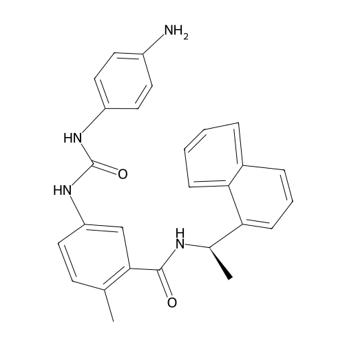 Cc1ccc(NC(=O)Nc2ccc(N)cc2)cc1C(=O)N[C@H](C)c1cccc2ccccc12